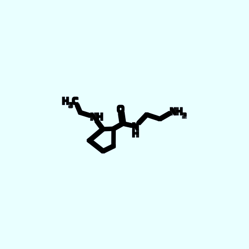 CCNC1CCCC1C(=O)NCCN